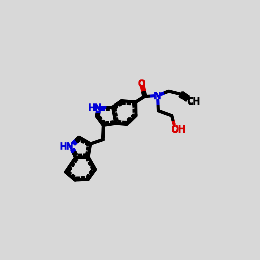 C#CCN(CCO)C(=O)c1ccc2c(Cc3c[nH]c4ccccc34)c[nH]c2c1